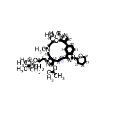 CC(C)Oc1nn(CCO[Si](C)(C)C(C)(C)C)c2c1/C=C/c1nn(C3CCCCO3)c3ccc(cc13)-c1cnn(C)c1O[C@@H](CO)CN(C)C2